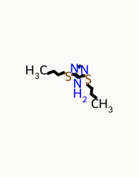 CCCCCSc1ncnc(SCCCCC)c1N